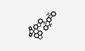 CC1(C)c2ccccc2N(c2cccc3c2Cc2c-3ccc3c2-c2ccc4c5c(ccc(c25)C32c3ccccc3-c3ccccc32)CC4)c2cc3c(cc21)-c1ccccc1[Si]3(C)C